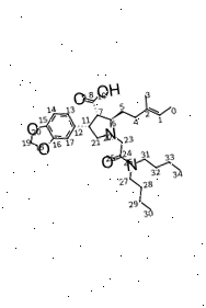 C/C=C(\C)CC[C@@H]1[C@@H](C(=O)O)[C@@H](c2ccc3c(c2)OCO3)CN1CC(=O)N(CCCC)CCCC